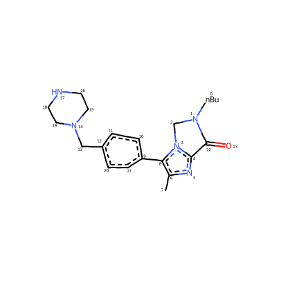 CCCCN1Cn2c(nc(C)c2-c2ccc(CN3CCNCC3)cc2)C1=O